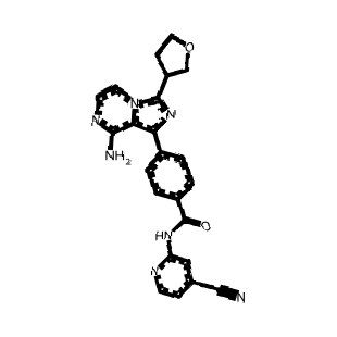 N#Cc1ccnc(NC(=O)c2ccc(-c3nc(C4CCOC4)n4ccnc(N)c34)cc2)c1